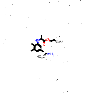 COCCOC(=O)[C@H](C)Nc1cc(C)cc(C)c1C.NCC(=O)O